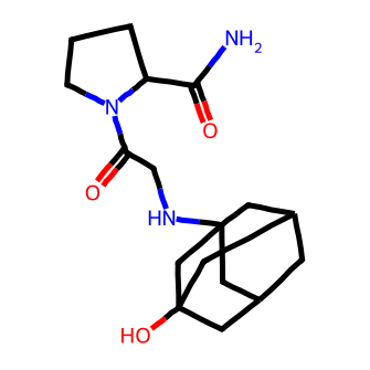 NC(=O)C1CCCN1C(=O)CNC12CC3CC(CC(O)(C3)C1)C2